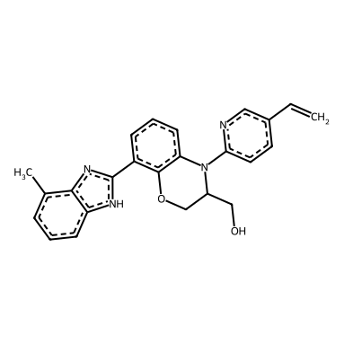 C=Cc1ccc(N2c3cccc(-c4nc5c(C)cccc5[nH]4)c3OCC2CO)nc1